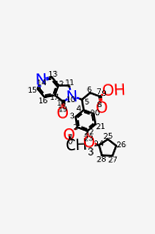 COc1cc(C(CC(=O)O)N2Cc3cnccc3C2=O)ccc1OC1CCCC1